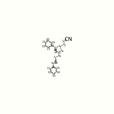 N#CCCCCC(CCSCc1ccccc1)SCc1ccccc1